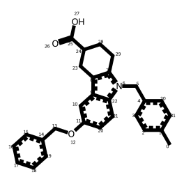 Cc1ccc(Cn2c3c(c4cc(OCc5ccccc5)ccc42)CC(C(=O)O)CC3)cc1